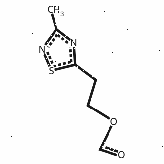 Cc1nsc(CCOC=O)n1